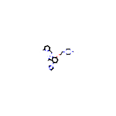 Cc1cccc(Cn2nc(C)c3c(-n4ccnc4)ccc(OCCN4CCN(C)CC4)c32)n1